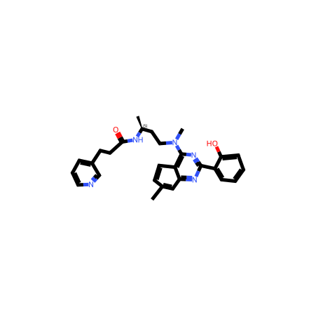 Cc1ccc2c(N(C)CC[C@H](C)NC(=O)CCc3cccnc3)nc(-c3ccccc3O)nc2c1